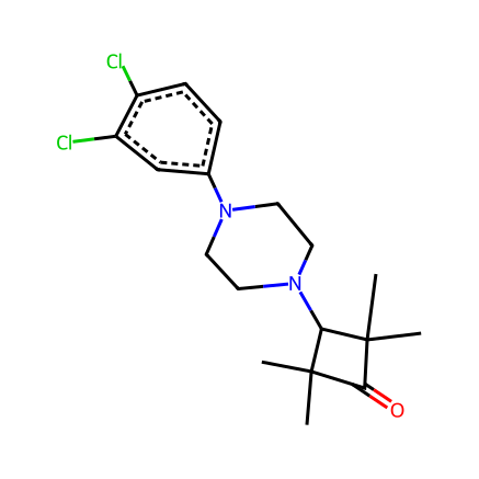 CC1(C)C(=O)C(C)(C)C1N1CCN(c2ccc(Cl)c(Cl)c2)CC1